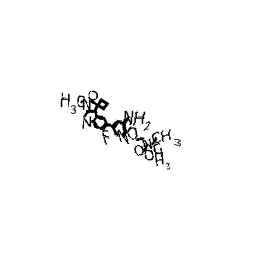 CC(C)N(CCOc1ncc(-c2cc3c4c(cnc3cc2F)N(C)C(=O)C42CCC2)cc1N)C(=O)O